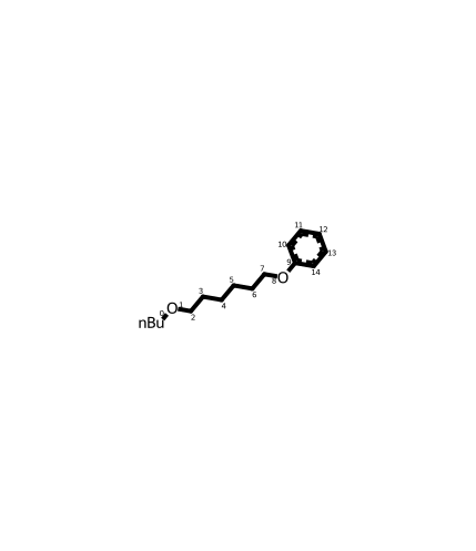 CCCCOCCCCCCOc1ccccc1